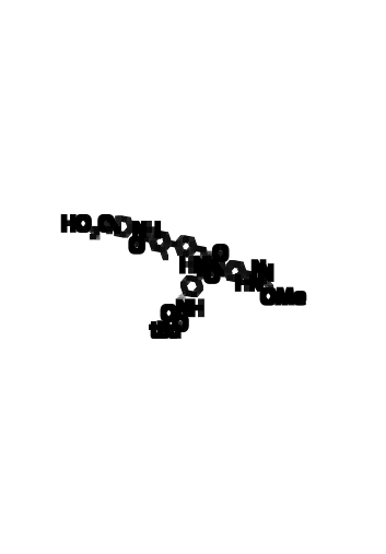 COCc1nnc(-c2ccc(NC(=O)[C@H](Cc3ccc(-c4ccc(C(=O)NC5CCN(C(=O)O)CC5)cc4C)cc3)NC(=O)[C@H]3CC[C@H](CNC(=O)OC(C)(C)C)CC3)cc2)[nH]1